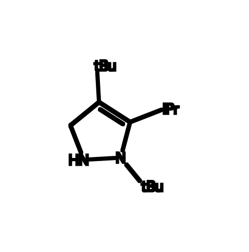 CC(C)C1=C(C(C)(C)C)CNN1C(C)(C)C